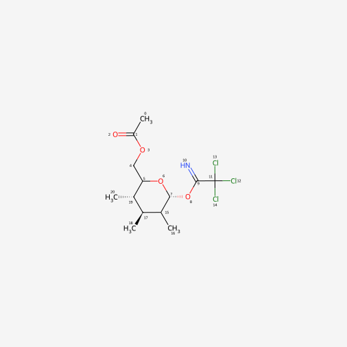 CC(=O)OCC1O[C@H](OC(=N)C(Cl)(Cl)Cl)C(C)[C@@H](C)[C@@H]1C